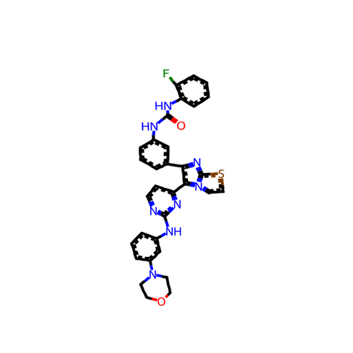 O=C(Nc1cccc(-c2nc3sccn3c2-c2ccnc(Nc3cccc(N4CCOCC4)c3)n2)c1)Nc1ccccc1F